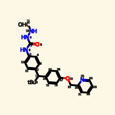 CC(C)(C)C(c1ccc(NC(=O)NNC=O)cc1)c1ccc(OCc2ccccn2)cc1